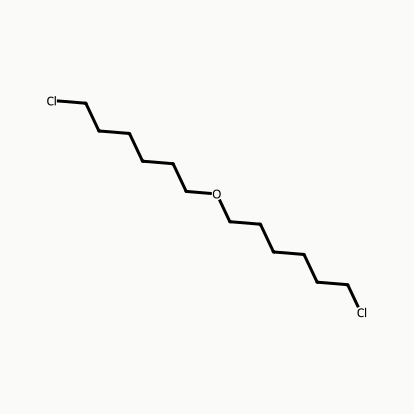 ClCCCCCCOCCCCCCCl